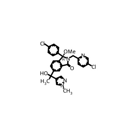 CO[C@]1(c2ccc(Cl)cc2)c2ccc(C(C)(O)c3cnn(C)c3)cc2C(=O)N1Cc1ccc(Cl)cn1